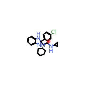 O=C(NC1CC1)[C@@H](C1CCCCC1)C1(c2ccc(Cl)cc2)Nc2ccccc2N1